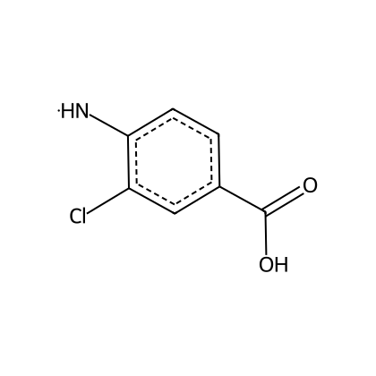 [NH]c1ccc(C(=O)O)cc1Cl